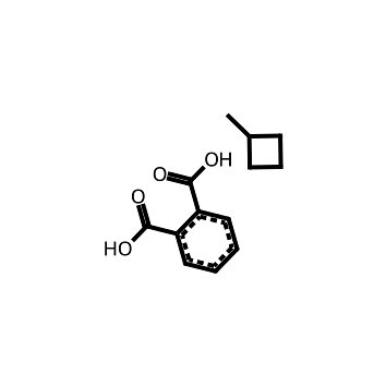 CC1CCC1.O=C(O)c1ccccc1C(=O)O